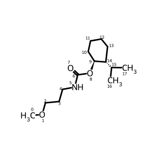 COCCCNC(=O)O[C@H]1CCCC[C@@H]1C(C)C